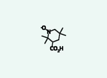 CC1(C)CC(C(=O)O)C(C)(C)N([O])C1